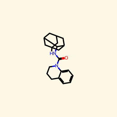 CC12CC3CC(C1)C(NC(=O)N1CCCc4ccccc41)C(C3)C2